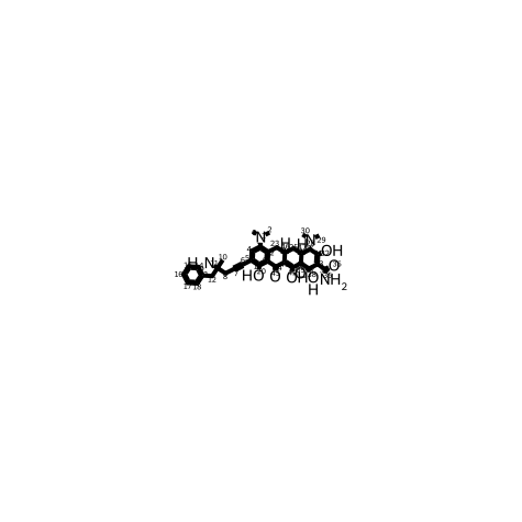 CN(C)c1cc(C#CCC(C)(N)Cc2ccccc2)c(O)c2c1C[C@H]1C[C@H]3[C@H](N(C)C)C(O)=C(C(N)=O)C4(O)O[C@]34C(O)=C1C2=O